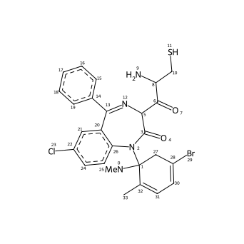 CNC1(N2C(=O)C(C(=O)C(N)CS)N=C(c3ccccc3)c3cc(Cl)ccc32)CC(Br)=CC=C1C